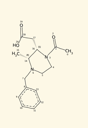 CC(=O)N1CCN(Cc2ccccc2)[C@H](C)[C@@H]1CC(=O)O